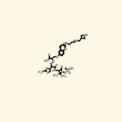 CC1(C)C(NC(=O)/C(=N\OC(COc2ccc3nc(NCCCNCC4CNC4)ccc3c2)C(=O)O)C2CSC(N)=N2)C(=O)N1OS(=O)(=O)O